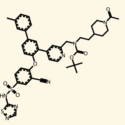 CC(=O)N1CCC(CCN(Cc2cc(-c3cc(-c4cccc(C)c4)ccc3Oc3ccc(S(=O)(=O)Nc4ncns4)cc3C#N)ccn2)C(=O)OC(C)(C)C)CC1